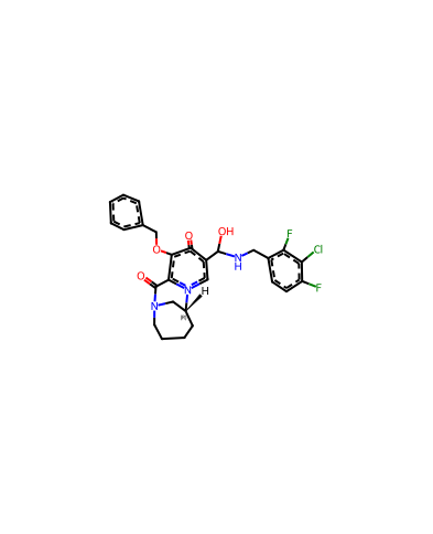 O=C1c2c(OCc3ccccc3)c(=O)c(C(O)NCc3ccc(F)c(Cl)c3F)cn2[C@@H]2CCCCN1C2